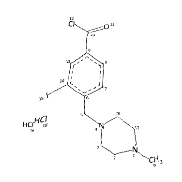 CN1CCN(Cc2ccc(C(=O)Cl)cc2I)CC1.Cl.Cl